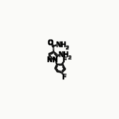 NC(=O)c1cnn(-c2ccc(F)cc2F)c1N